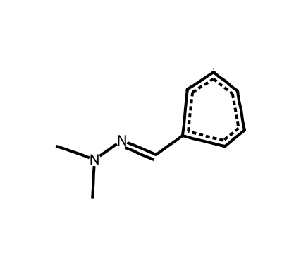 CN(C)N=Cc1c[c]ccc1